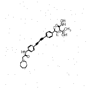 C[C@@H](O)[C@H](NC(=O)c1ccc(C#CC#Cc2ccc(NC(=O)CN3CCCCCC3)cc2)cc1)C(=O)NO